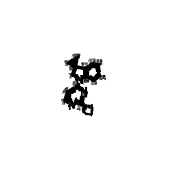 Clc1nccc(N2CC3(CC3)c3ccccc32)n1